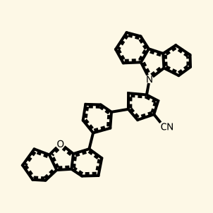 N#Cc1cc(-c2cccc(-c3cccc4c3oc3ccccc34)c2)cc(-n2c3ccccc3c3ccccc32)c1